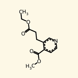 CCOC(=O)CCc1cnccc1C(=O)OC